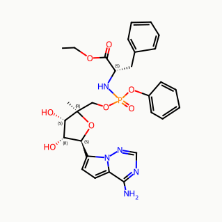 CCOC(=O)[C@H](Cc1ccccc1)NP(=O)(OC[C@@]1(C)O[C@@H](c2ccc3c(N)ncnn23)[C@H](O)[C@@H]1O)Oc1ccccc1